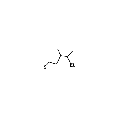 CCC(C)C(C)CC[S]